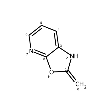 C=C1Nc2cccnc2O1